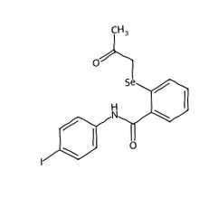 CC(=O)C[Se]c1ccccc1C(=O)Nc1ccc(I)cc1